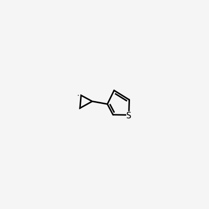 [CH]1CC1c1ccsc1